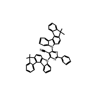 CC1(C)c2ccccc2-c2c1ccc1c2c2ccccc2n1-c1nc(-c2ccccc2)nc(-n2c3ccccc3c3c4c(ccc32)C(C)(C)c2ccccc2-4)c1C#N